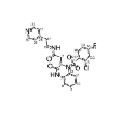 O=C(C[C@@H]1C(=O)Nc2ccccc2N1S(=O)(=O)c1ccc(F)cc1Cl)NCCc1ccncc1